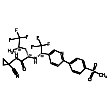 C[C@@H](C[C@H](N[C@@H](c1ccc(-c2ccc(S(C)(=O)=O)cc2)nc1)C(F)(F)F)C(=O)NC1(C#N)CC1)C(F)(F)F